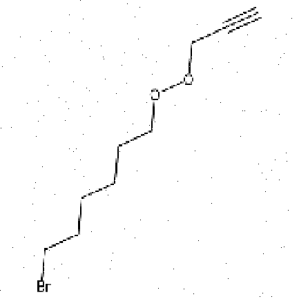 C#CCOOCCCCCCBr